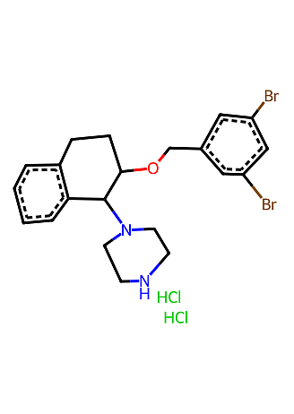 Brc1cc(Br)cc(COC2CCc3ccccc3C2N2CCNCC2)c1.Cl.Cl